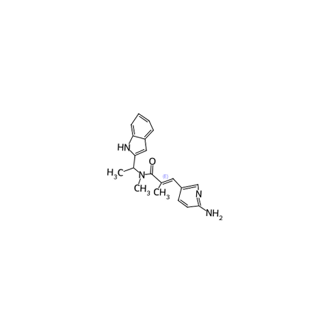 C/C(=C\c1ccc(N)nc1)C(=O)N(C)C(C)c1cc2ccccc2[nH]1